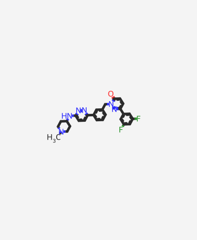 CN1CCC(Nc2ccc(-c3cccc(Cn4nc(-c5cc(F)cc(F)c5)ccc4=O)c3)nn2)CC1